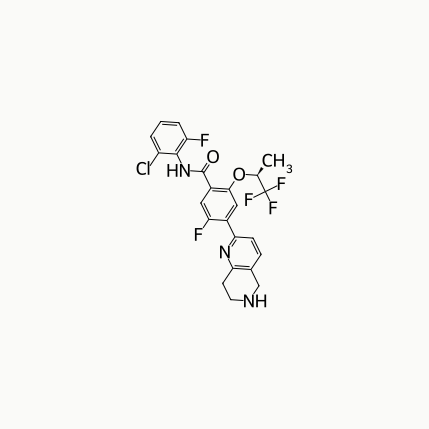 C[C@H](Oc1cc(-c2ccc3c(n2)CCNC3)c(F)cc1C(=O)Nc1c(F)cccc1Cl)C(F)(F)F